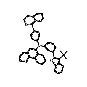 CC(C)(C)c1c(-c2cccc(N(c3ccc(-c4cccc5ccccc45)cc3)c3cc4ccccc4c4ccccc34)c2)oc2ccccc12